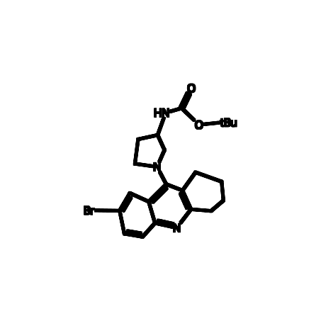 CC(C)(C)OC(=O)NC1CCN(c2c3c(nc4ccc(Br)cc24)CCCC3)C1